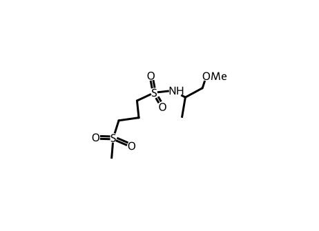 COCC(C)NS(=O)(=O)CCCS(C)(=O)=O